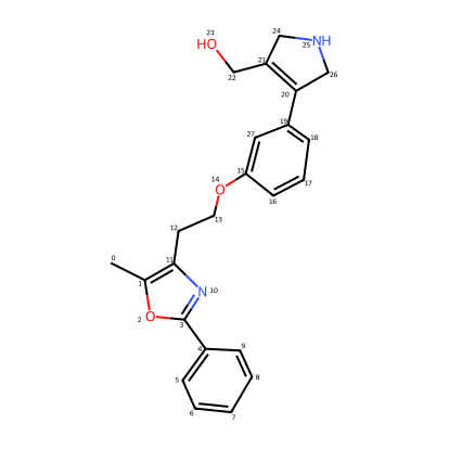 Cc1oc(-c2ccccc2)nc1CCOc1cccc(C2=C(CO)CNC2)c1